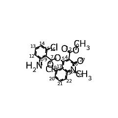 COC(=O)c1c(OC(=O)c2c(N)cccc2Cl)c2c(Cl)cccc2n(C)c1=O